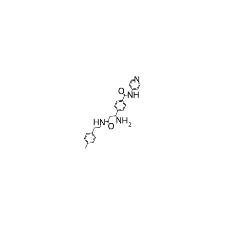 Cc1ccc(CCNC(=O)CC(N)c2ccc(C(=O)Nc3ccncc3)cc2)cc1